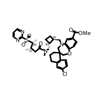 COC(=O)c1ccc2c(c1)N(C[C@@H]1CC[C@H]1CN(C)C(=O)C[C@H](C)[C@@H](C)S(=O)(=O)c1ncccn1)CC1(CCCc3cc(Cl)ccc31)CO2